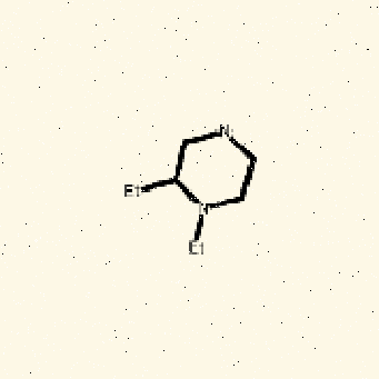 CCC1C[N]CCN1CC